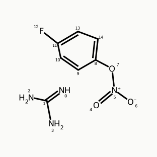 N=C(N)N.O=[N+]([O-])Oc1ccc(F)cc1